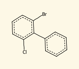 Clc1cccc(Br)c1-c1ccccc1